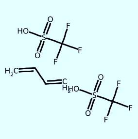 C=CC=C.O=S(=O)(O)C(F)(F)F.O=S(=O)(O)C(F)(F)F